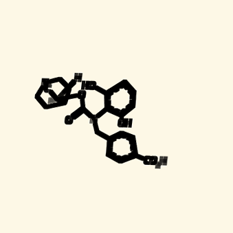 O=C(O)c1ccc(CN(C(=O)O[C@H]2CN3CCC2CC3)c2c(O)cccc2O)cc1